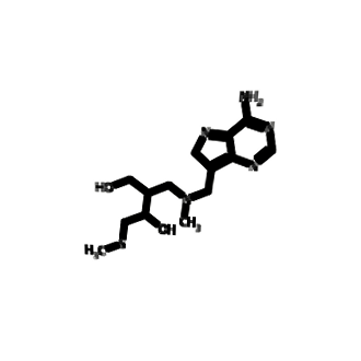 CSCC(O)C(CO)CN(C)CC1=c2ncnc(N)c2=NC1